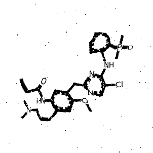 C=CC(=O)Nc1cc(Cc2ncc(Cl)c(Nc3ccccc3P(C)(C)=O)n2)c(OC)cc1/C=C\CN(C)C